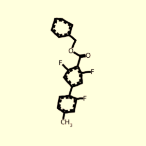 Cc1ccc(-c2cc(F)c(C(=O)OCc3ccccc3)c(F)c2)c(F)c1